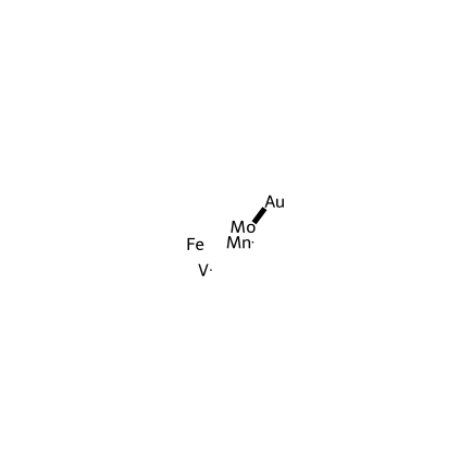 [Fe].[Mn].[Mo][Au].[V]